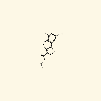 CCOC(=O)c1snc2c1nnc1c(C)cc(O)cc12